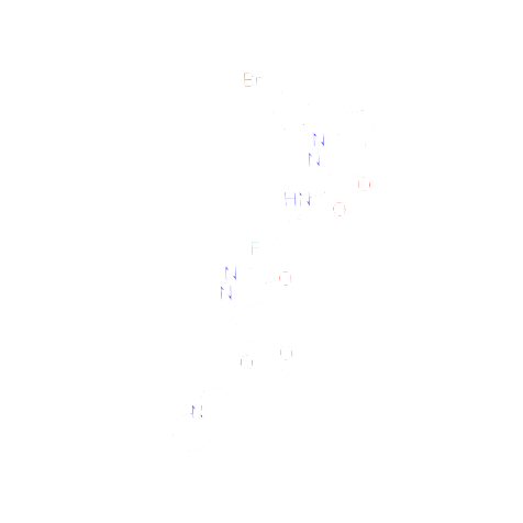 COc1cc2c(Oc3ccc(NC(=O)c4nn(-c5ccc(Br)cc5)c5ccccc5c4=O)cc3F)cnnc2cc1OCCCN1CCCCC1